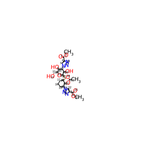 COC(=O)c1cn([C@H]2[C@@H](O)[C@@H](CO)O[C@@H](S[C@@H]3CCC[C@H](n4cc(C(=O)OC)nn4)[C@H]3OC(C)=O)[C@@H]2O)nn1